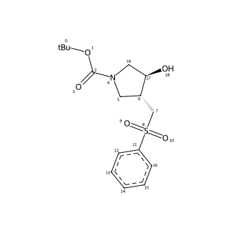 CC(C)(C)OC(=O)N1C[C@@H](CS(=O)(=O)c2ccccc2)[C@H](O)C1